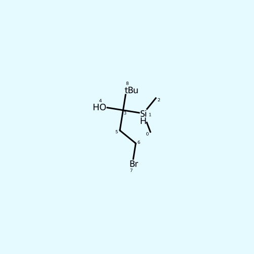 C[SiH](C)C(O)(CCBr)C(C)(C)C